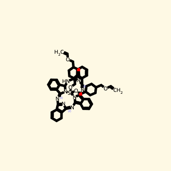 C=COCC1CCC(CO[Si]2(OCC3CCC(COC=C)CC3)N3/C4=N\C5=NC(=N\c6c7ccccc7c(n62)/N=C2\N=C(NC3c3ccccc34)C3=C2C=CCC3)/C2=C5C=CCC2)CC1